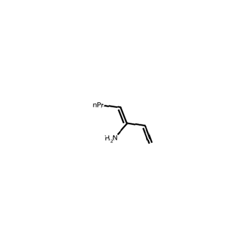 C=CC(N)=CCCC